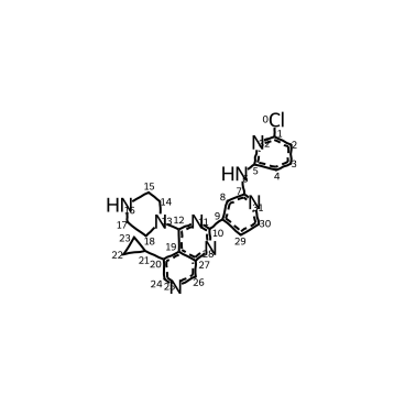 Clc1cccc(Nc2cc(-c3nc(N4CCNCC4)c4c(C5CC5)cncc4n3)ccn2)n1